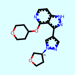 c1cc2[nH]nc(-c3cnn([C@H]4CCOC4)c3)c2c(OC2CCOCC2)n1